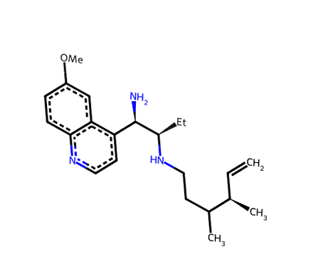 C=C[C@@H](C)C(C)CCN[C@H](CC)[C@H](N)c1ccnc2ccc(OC)cc12